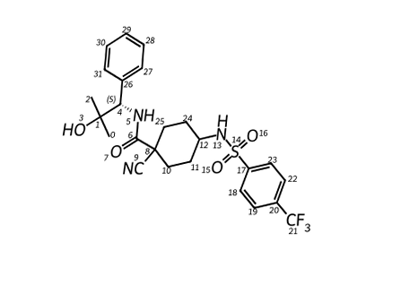 CC(C)(O)[C@@H](NC(=O)C1(C#N)CCC(NS(=O)(=O)c2ccc(C(F)(F)F)cc2)CC1)c1ccccc1